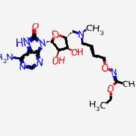 CCOC(C)=NOCCCCN(C)C[C@H]1O[C@@H](n2c(=O)[nH]c3c(N)ncnc32)[C@H](O)[C@@H]1O